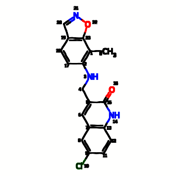 Cc1c(NCc2cc3cc(Cl)ccc3[nH]c2=O)ccc2cnoc12